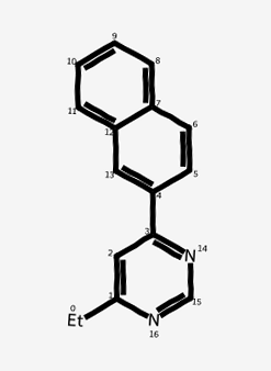 CCc1cc(-c2ccc3ccccc3c2)ncn1